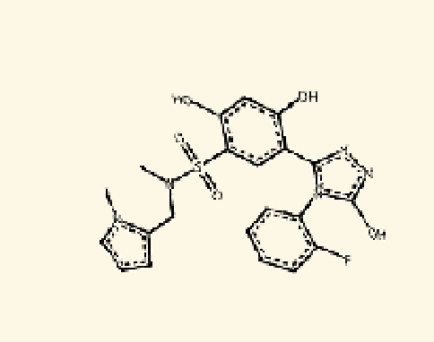 CN(Cc1cccn1C)S(=O)(=O)c1cc(-c2nnc(O)n2-c2ccccc2F)c(O)cc1O